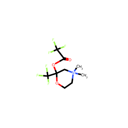 C[N+]1(C)CCOC(OC(=O)C(F)(F)F)(C(F)(F)F)C1